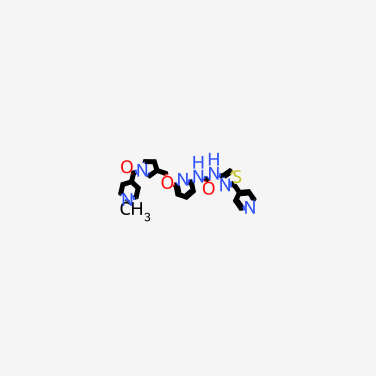 CN1CCC(C(=O)N2CCC(COc3cccc(NC(=O)Nc4csc(-c5ccncc5)n4)n3)C2)CC1